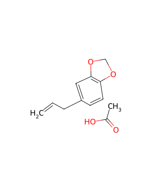 C=CCc1ccc2c(c1)OCO2.CC(=O)O